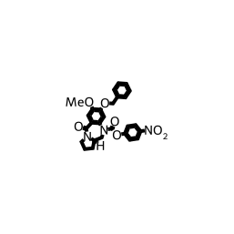 COc1cc2c(cc1OCc1ccccc1)N(C(=O)Oc1ccc([N+](=O)[O-])cc1)C[C@@H]1CCCN1C2=O